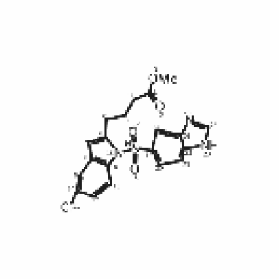 COC(=O)CCCc1cc2cc(Cl)ccc2n1S(=O)(=O)c1ccc2[nH]cnc2c1